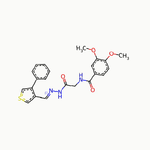 COc1ccc(C(=O)NCC(=O)N/N=C/c2cscc2-c2ccccc2)cc1OC